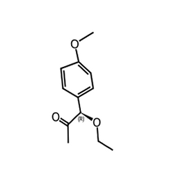 CCO[C@@H](C(C)=O)c1ccc(OC)cc1